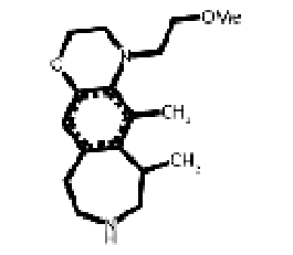 COCCN1CCOc2cc3c(c(C)c21)C(C)CNCC3